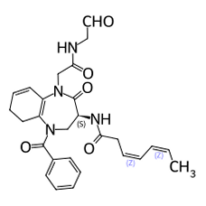 C/C=C\C=C/CC(=O)N[C@H]1CN(C(=O)c2ccccc2)C2=C(C=CCC2)N(CC(=O)NCC=O)C1=O